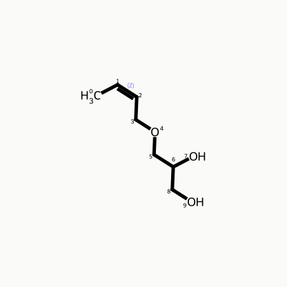 C/C=C\COCC(O)CO